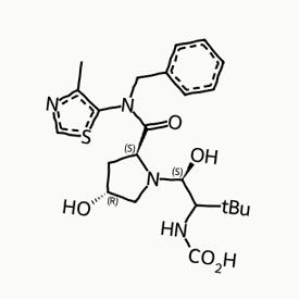 Cc1ncsc1N(Cc1ccccc1)C(=O)[C@@H]1C[C@@H](O)CN1[C@@H](O)C(NC(=O)O)C(C)(C)C